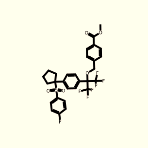 COC(=O)c1ccc(COC(c2ccc(C3(S(=O)(=O)c4ccc(F)cc4)CCCC3)cc2)(C(F)(F)F)C(F)(F)F)cc1